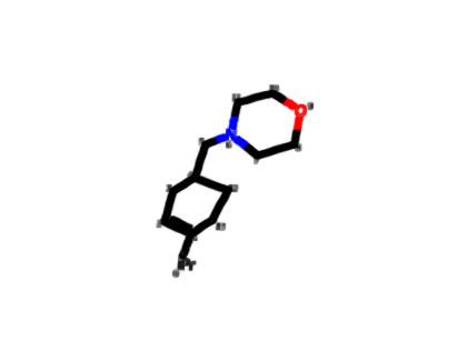 CC(C)C1=CCC(CN2CCOCC2)CC1